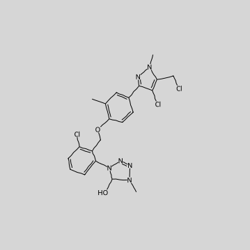 Cc1cc(-c2nn(C)c(CCl)c2Cl)ccc1OCc1c(Cl)cccc1N1N=NN(C)C1O